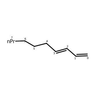 C=CC=CCC[CH]CCC